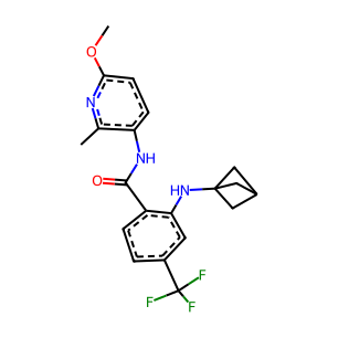 COc1ccc(NC(=O)c2ccc(C(F)(F)F)cc2NC23CC(C2)C3)c(C)n1